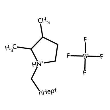 CCCCCCCC[NH+]1CCC(C)C1C.F[B-](F)(F)F